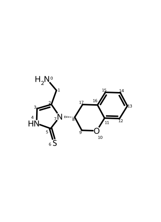 NCc1c[nH]c(=S)n1[C@H]1COc2ccccc2C1